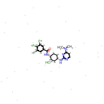 CN(C)c1ccnc(N[C@H]2CC[C@@H](NC(=O)c3cc(F)c(F)c(F)c3)CC2)n1.Cl